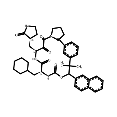 CC(C)(c1cccc(Cl)c1)C(OC(=O)N[C@@H](CC1CCCCC1)C(=O)N[C@@H](C[C@@H]1CCNC1=O)C(=O)C(=O)N1CCCC1)c1ccc2ccccc2c1